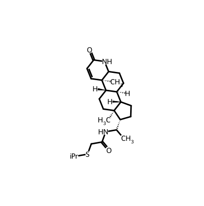 CC(C)SCC(=O)NC(C)[C@H]1CC[C@H]2[C@@H]3CCC4NC(=O)C=C[C@]4(C)[C@H]3CC[C@]12C